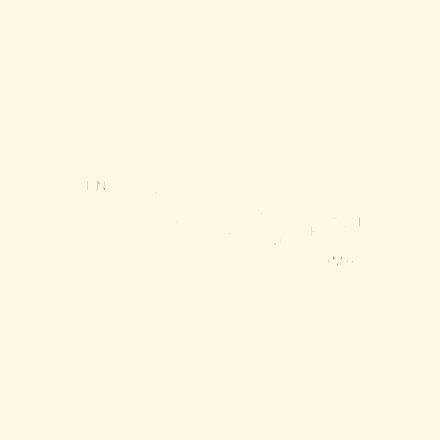 CO[PH](C)(O)OCCCCCCN